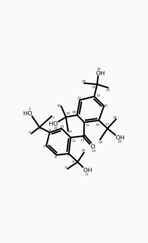 CC(C)(O)c1ccc(C(C)(C)O)c(C(=O)c2c(C(C)(C)O)cc(C(C)(C)O)cc2C(C)(C)O)c1